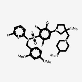 COc1ccc(CN(c2cccc(F)n2)S(=O)(=O)c2c(F)cc(N3CCC(CN4CCC(OC)CC4)(OC)C3)c(Cl)c2F)c(OC)c1